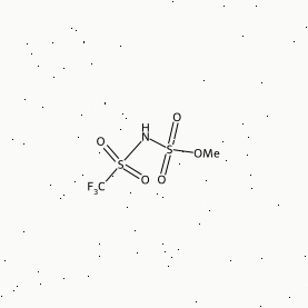 COS(=O)(=O)NS(=O)(=O)C(F)(F)F